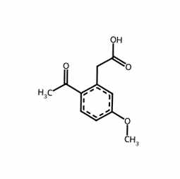 COc1ccc(C(C)=O)c(CC(=O)O)c1